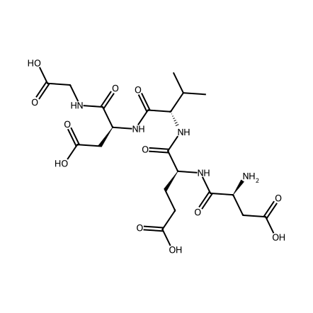 CC(C)[C@H](NC(=O)[C@H](CCC(=O)O)NC(=O)[C@@H](N)CC(=O)O)C(=O)N[C@@H](CC(=O)O)C(=O)NCC(=O)O